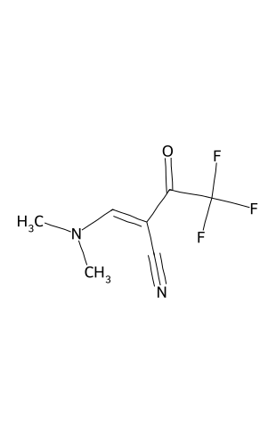 CN(C)/C=C(\C#N)C(=O)C(F)(F)F